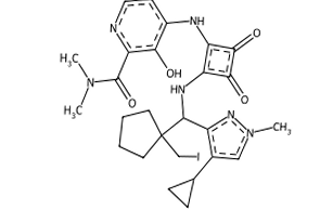 CN(C)C(=O)c1nccc(Nc2c(NC(c3nn(C)cc3C3CC3)C3(CI)CCCC3)c(=O)c2=O)c1O